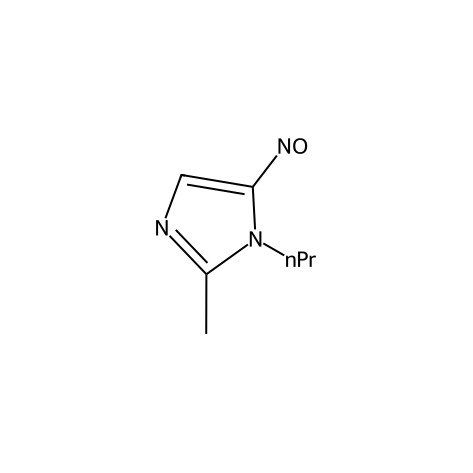 C[CH]Cn1c(N=O)cnc1C